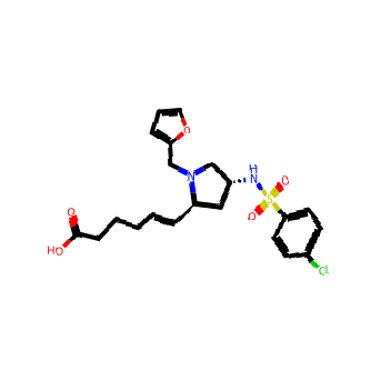 O=C(O)CCCC=C[C@@H]1C[C@@H](NS(=O)(=O)c2ccc(Cl)cc2)CN1Cc1ccco1